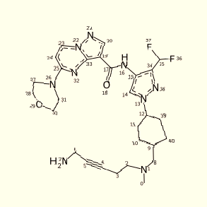 CN(CCC#CCN)CC1CCC(n2cc(NC(=O)c3cnn4ccc(N5CCOCC5)nc34)c(C(F)F)n2)CC1